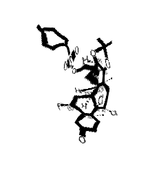 Cc1ccc(S(=O)(=O)OCC(=O)[C@@]23OC(C)(C)O[C@@H]2C[C@H]2[C@@H]4C[C@H](F)C5=CC(=O)CC[C@]5(C)[C@@]4(Cl)[C@@H](Cl)C[C@@]23C)cc1